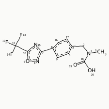 CN(Cc1ccc(-c2noc(C(F)(F)F)n2)cc1)C(=O)O